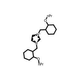 CCCOC1CCCCC1Cn1cc[n+](CC2CCCCC2OCCC)c1